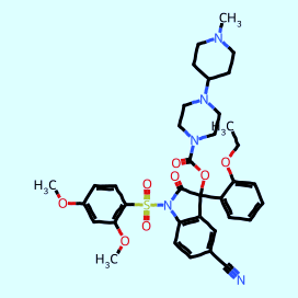 CCOc1ccccc1C1(OC(=O)N2CCN(C3CCN(C)CC3)CC2)C(=O)N(S(=O)(=O)c2ccc(OC)cc2OC)c2ccc(C#N)cc21